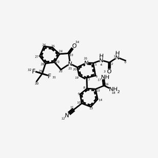 CNC(=O)Nc1cc(-c2cc(C#N)ccc2C(=N)N)cc(N2Cc3c(cccc3C(C)(F)F)C2=O)n1